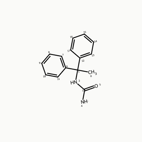 CC(NC([NH])=O)(c1ccccc1)c1ccccc1